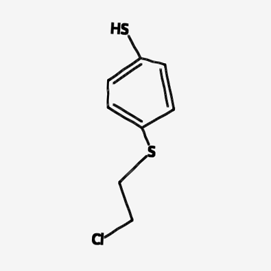 Sc1ccc(SCCCl)cc1